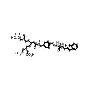 N[C@H](Cc1cc2ccccc2[nH]1)C(=O)NOCc1ccc(CNC(=O)CN(CCN(CC(=O)O)CC(=O)O)CCN(CC(=O)O)CC(=O)O)cc1